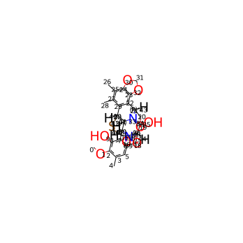 COc1c(C)cc2c(c1O)[C@@H]1[C@@H]3[C@@H]4SCC(=O)C(=O)OC[C@@H](c5c6c(c(C)c(C)c54)OCO6)N3[C@@H](O)[C@H](C2)N1C